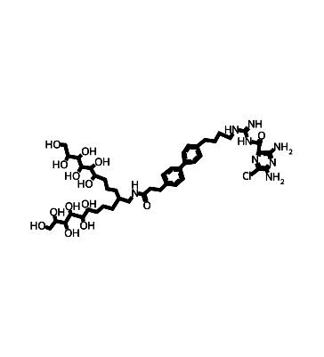 N=C(NCCCCc1ccc(-c2ccc(CCC(=O)NCC(CCCC(O)C(O)C(O)C(O)C(O)CO)CCCC(O)C(O)C(O)C(O)C(O)CO)cc2)cc1)NC(=O)c1nc(Cl)c(N)nc1N